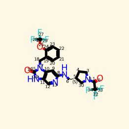 O=C(N1CC[C@@H](CNc2cc3c(cn2)[nH]c(=O)n3Cc2ccccc2OC(F)(F)F)C1)C(F)(F)F